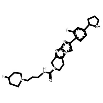 O=C(NCCCN1CCC(F)CC1)N1CCc2c(sc3nc(-c4ccc(C5CCCN5)cc4F)cn23)C1